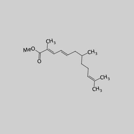 COC(=O)/C(C)=C/C=C/CC(C)CCC=C(C)C